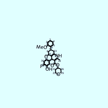 COc1ccccc1C1CC(=O)C2=C(C1)NC(C)=C(C(=O)OC1CCOCC1)C2c1ccc(F)c(O)c1